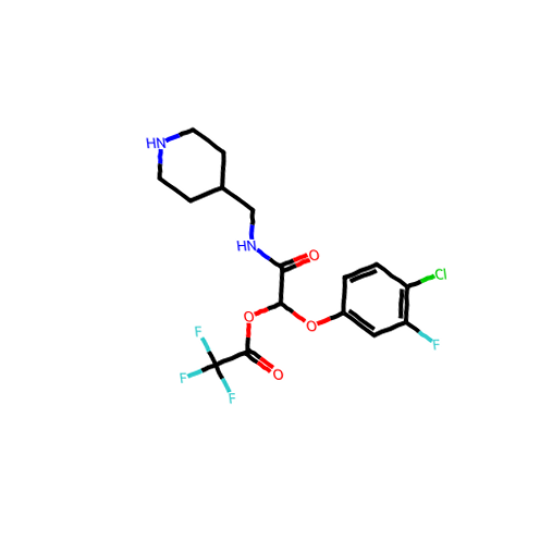 O=C(NCC1CCNCC1)C(OC(=O)C(F)(F)F)Oc1ccc(Cl)c(F)c1